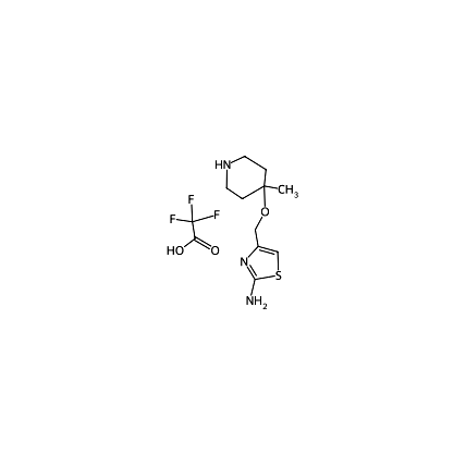 CC1(OCc2csc(N)n2)CCNCC1.O=C(O)C(F)(F)F